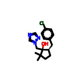 CC1(C)CC[C@@H](Cc2ccc(Cl)cc2)[C@@]1(O)Cn1cncn1